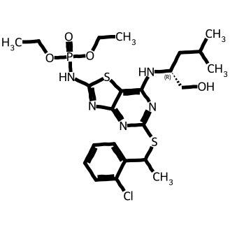 CCOP(=O)(Nc1nc2nc(SC(C)c3ccccc3Cl)nc(N[C@@H](CO)CC(C)C)c2s1)OCC